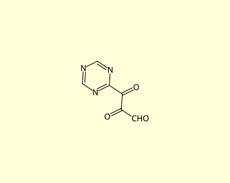 O=CC(=O)C(=O)c1ncncn1